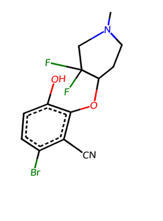 CN1CCC(Oc2c(O)ccc(Br)c2C#N)C(F)(F)C1